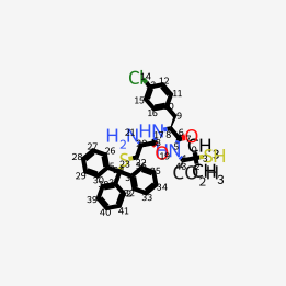 CC(C)(S)[C@@H](NC(=O)[C@H](Cc1ccc(Cl)cc1)NC(=O)[C@H](N)CSC(c1ccccc1)(c1ccccc1)c1ccccc1)C(=O)O